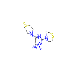 Nc1cc(N2CCSCC2)nc(N2CCSCC2)n1